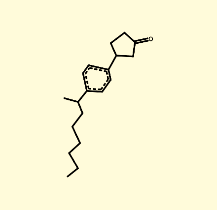 CCCCCCC(C)c1ccc(C2CCC(=O)C2)cc1